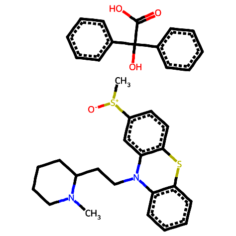 CN1CCCCC1CCN1c2ccccc2Sc2ccc([S+](C)[O-])cc21.O=C(O)C(O)(c1ccccc1)c1ccccc1